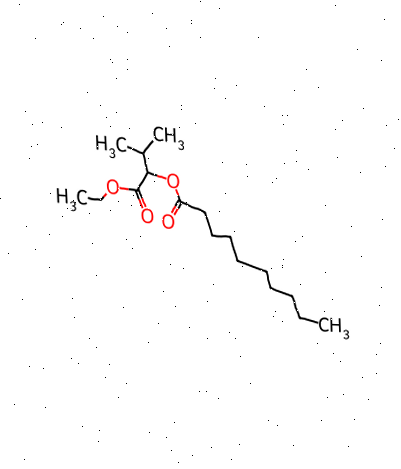 CCCCCCCCCC(=O)OC(C(=O)OCC)C(C)C